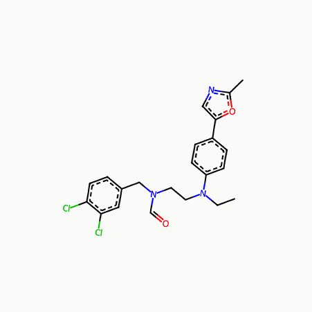 CCN(CCN(C=O)Cc1ccc(Cl)c(Cl)c1)c1ccc(-c2cnc(C)o2)cc1